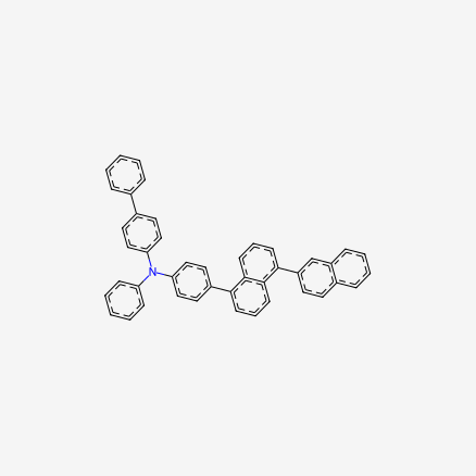 c1ccc(-c2ccc(N(c3ccccc3)c3ccc(-c4cccc5c(-c6ccc7ccccc7c6)cccc45)cc3)cc2)cc1